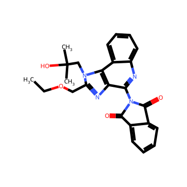 CCOCc1nc2c(N3C(=O)c4ccccc4C3=O)nc3ccccc3c2n1CC(C)(C)O